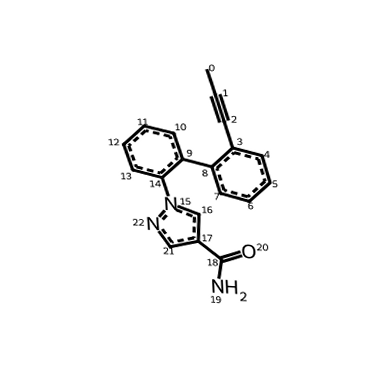 CC#Cc1ccccc1-c1ccccc1-n1cc(C(N)=O)cn1